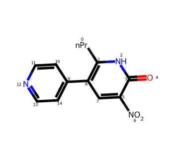 CCCc1[nH]c(=O)c([N+](=O)[O-])cc1-c1ccncc1